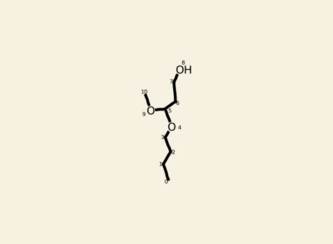 CCCCOC(CCO)OC